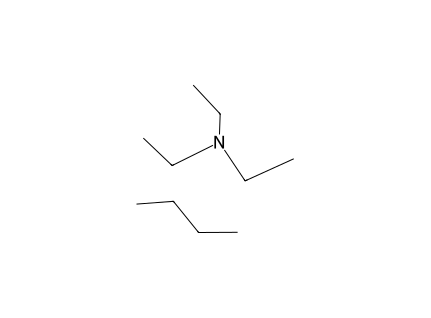 CCCC.CCN(CC)CC